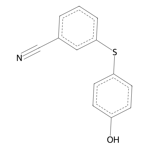 N#Cc1cccc(Sc2ccc(O)cc2)c1